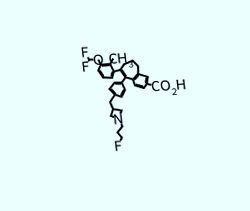 Cc1c(OC(F)F)cccc1C1=C(c2ccc(CC3CN(CCCF)C3)cc2)c2ccc(C(=O)O)cc2CCC1